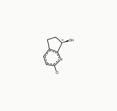 O[C@@H]1CCc2ccc(Cl)nc21